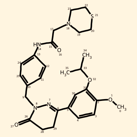 COc1ccc(C2=NN(Cc3ccc(NC(=O)CN4CCSCC4)cc3)C(=O)CC2)cc1OC(C)C